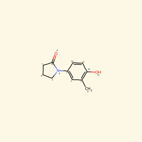 Cc1cc(N2CCCC2=O)ccc1O